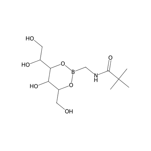 CC(C)(C)C(=O)NCB1OC(CO)C(O)C(C(O)CO)O1